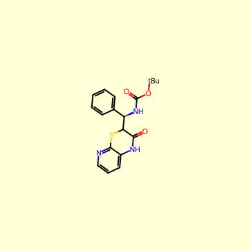 CC(C)(C)OC(=O)N[C@H](c1ccccc1)C1Sc2ncccc2NC1=O